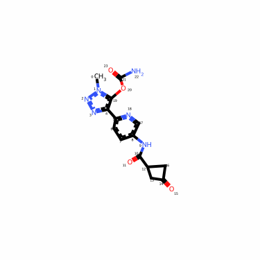 Cn1nnc(-c2ccc(NC(=O)C3CC(=O)C3)cn2)c1OC(N)=O